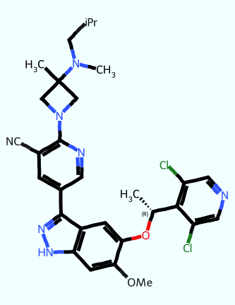 COc1cc2[nH]nc(-c3cnc(N4CC(C)(N(C)CC(C)C)C4)c(C#N)c3)c2cc1O[C@H](C)c1c(Cl)cncc1Cl